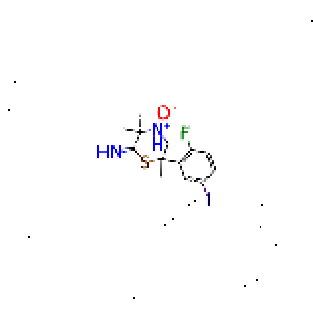 CC1(c2cc(I)ccc2F)C[NH+]([O-])C(C)(C)C(=N)S1